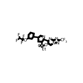 CCS(=O)(=O)c1cc(-c2cccc(OC(F)(F)C(F)F)c2)cnc1-c1ccn2nc(C(F)(F)F)nc2n1